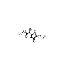 CCC(C(=O)OC(C)(C)C)[C@H]1CC(=O)[C@@H](C(=O)O)N1